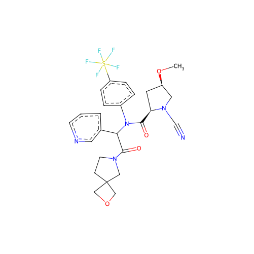 CO[C@@H]1C[C@H](C(=O)N(c2ccc(S(F)(F)(F)(F)F)cc2)C(C(=O)N2CCC3(COC3)C2)c2cccnc2)N(C#N)C1